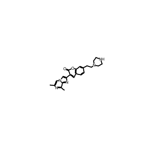 Cc1cn2cc(-c3cc4ccc(CCN5CCNCC5)cc4oc3=O)nc2c(C)n1